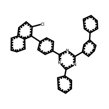 Clc1ccc2ccccc2c1-c1ccc(-c2nc(-c3ccccc3)nc(-c3cccc(-c4ccccc4)c3)n2)cc1